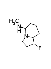 CN[C@H]1CCCC2C(F)CCN21